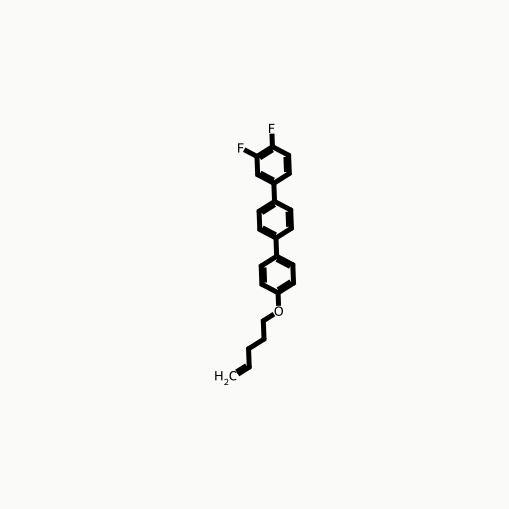 C=CCCCOc1ccc(-c2ccc(-c3ccc(F)c(F)c3)cc2)cc1